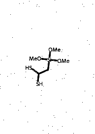 CO[Si](CC(S)S)(OC)OC